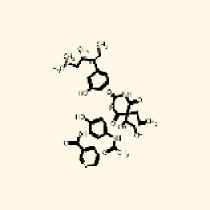 C=CCC1(C(C)CC)C(=O)NC(=O)NC1=O.CC(=O)Nc1ccc(O)cc1.CC[C@@H](c1cccc(O)c1)[C@@H](C)CN(C)C.O=C(O)c1cccnc1